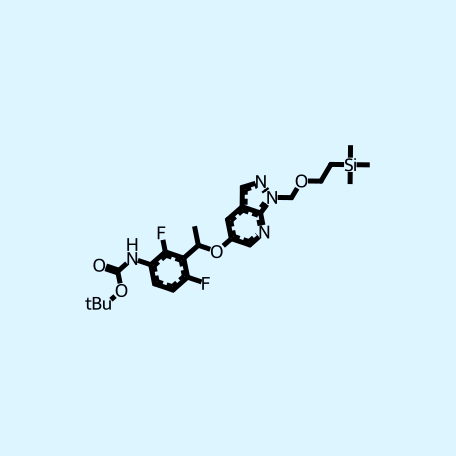 CC(Oc1cnc2c(cnn2COCC[Si](C)(C)C)c1)c1c(F)ccc(NC(=O)OC(C)(C)C)c1F